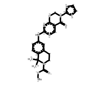 CC(C)(C)OC(=O)N1CCc2cc(Nc3ncc4c(n3)OCN(c3nccs3)C4=O)ccc2C1(C)C